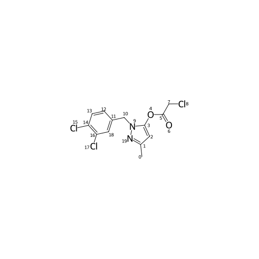 Cc1cc(OC(=O)CCl)n(Cc2ccc(Cl)c(Cl)c2)n1